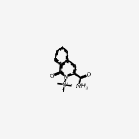 C[N+](C)(C)n1c(C(N)=O)cc2ccccc2c1=O